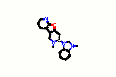 CN1C=c2c(oc3ncccc23)=CB1N1CN(C)c2ccccc21